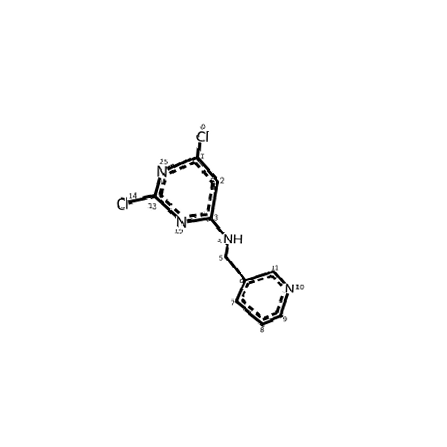 Clc1cc(NCc2cccnc2)nc(Cl)n1